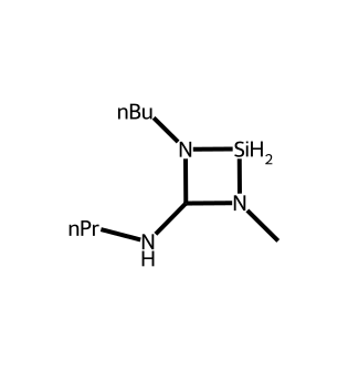 CCCCN1[SiH2]N(C)C1NCCC